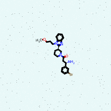 COCCCn1c([C@@H]2CCCN(C(=O)C[C@H](N)c3cccc(Br)c3)C2)nc2ccccc21